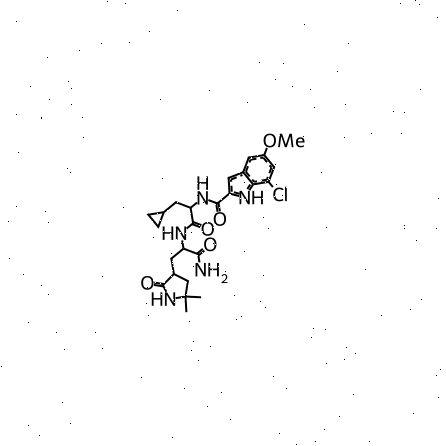 COc1cc(Cl)c2[nH]c(C(=O)NC(CC3CC3)C(=O)NC(CC3CC(C)(C)NC3=O)C(N)=O)cc2c1